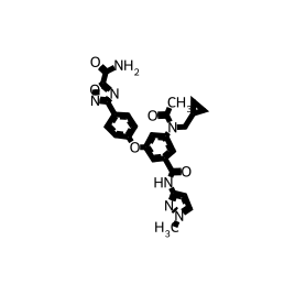 CC(=O)N(CC1CC1)c1cc(Oc2ccc(-c3noc(C(N)=O)n3)cc2)cc(C(=O)Nc2ccn(C)n2)c1